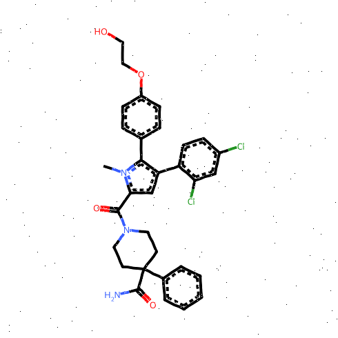 Cn1c(C(=O)N2CCC(C(N)=O)(c3ccccc3)CC2)cc(-c2ccc(Cl)cc2Cl)c1-c1ccc(OCCO)cc1